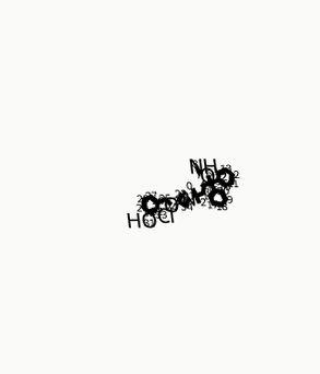 CC(C)(CCC(OCN)(c1ccccc1)c1ccccc1)N1CC(OCc2cccc(O)c2Cl)C1